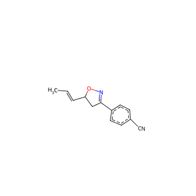 C/C=C/C1CC(c2ccc(C#N)cc2)=NO1